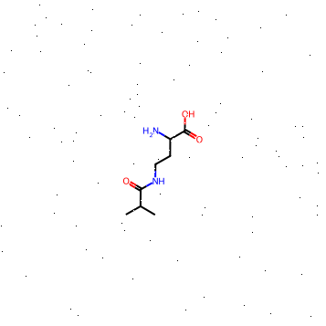 CC(C)C(=O)NCCC(N)C(=O)O